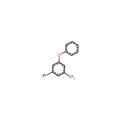 CC(C)c1cc(Oc2ccccc2)cc(C(F)(F)F)c1